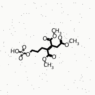 COC(=O)C/C(C(=O)OC)=C(/CCCOS(=O)(=O)O)C(=O)OC